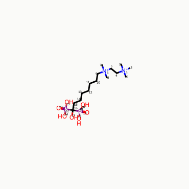 C[N+](C)(C)CC[N+](C)(C)CCCCCCCC(O)(P(=O)(O)O)P(=O)(O)O